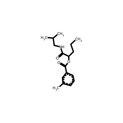 CCCC(OC(=O)c1cccc(C)c1)C(=O)NCC(C)C